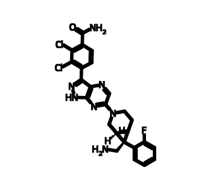 NC[C@]1(c2ccccc2F)[C@@H]2CCN(c3cnc4c(-c5ccc(C(N)=O)c(Cl)c5Cl)n[nH]c4n3)C[C@@H]21